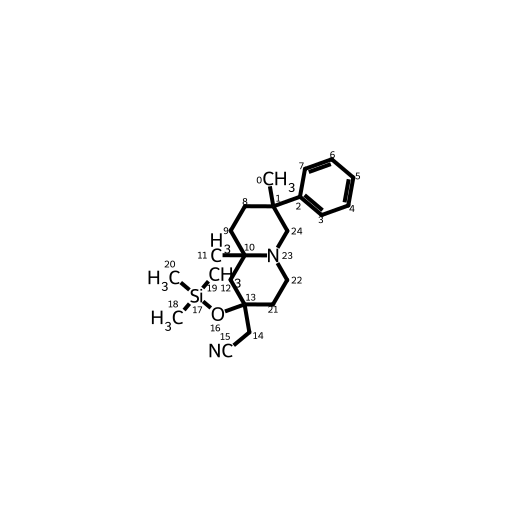 CC1(c2ccccc2)CCC2(C)CC(CC#N)(O[Si](C)(C)C)CCN2C1